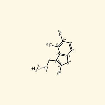 [CH2]OCc1c(F)sc2ccc(F)c(F)c12